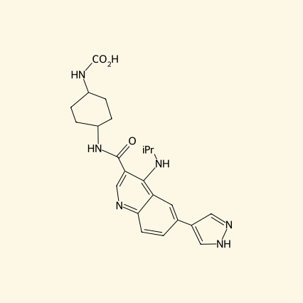 CC(C)Nc1c(C(=O)NC2CCC(NC(=O)O)CC2)cnc2ccc(-c3cn[nH]c3)cc12